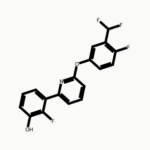 Oc1cccc(-c2cccc(Oc3ccc(F)c(C(F)F)c3)n2)c1F